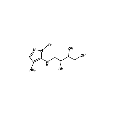 CC(C)n1ncc(N)c1NCC(O)C(O)CO